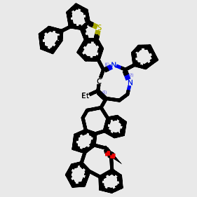 CC/C1=C(\C2CCc3ccc4c(c3-c3ccccc32)-c2ccccc2-c2ccccc2-c2ccccc2-4)CC/N=C(c2ccccc2)\N=C(\c2ccc3c(c2)sc2cccc(-c4ccccc4)c23)C1